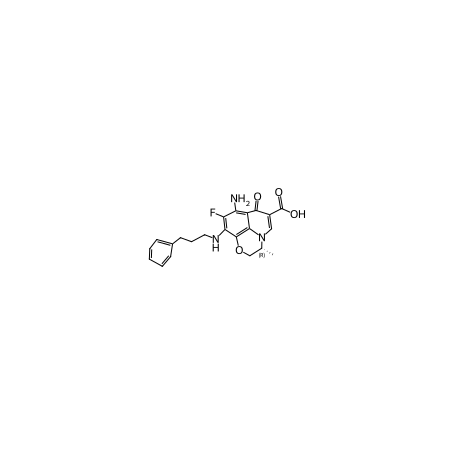 C[C@@H]1COc2c(NCCCc3ccccc3)c(F)c(N)c3c(=O)c(C(=O)O)cn1c23